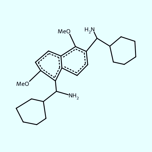 COc1ccc2c(OC)c(C(N)C3CCCCC3)ccc2c1C(N)C1CCCCC1